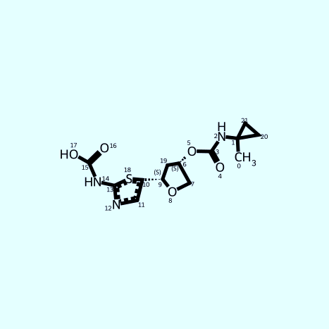 CC1(NC(=O)O[C@@H]2CO[C@H](c3cnc(NC(=O)O)s3)C2)CC1